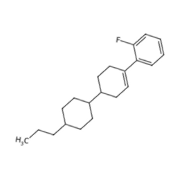 CCCC1CCC(C2CC=C(c3ccccc3F)CC2)CC1